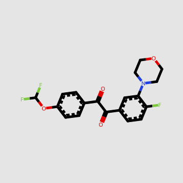 O=C(C(=O)c1ccc(F)c(N2CCOCC2)c1)c1ccc(OC(F)F)cc1